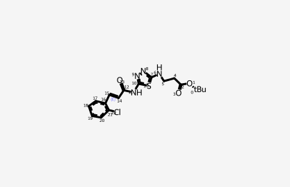 CC(C)(C)OC(=O)CCNc1nnc(NC(=O)/C=C/c2ccccc2Cl)s1